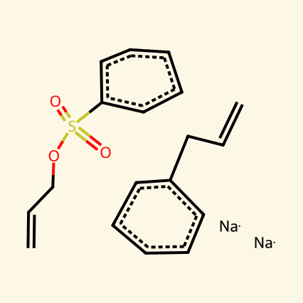 C=CCOS(=O)(=O)c1ccccc1.C=CCc1ccccc1.[Na].[Na]